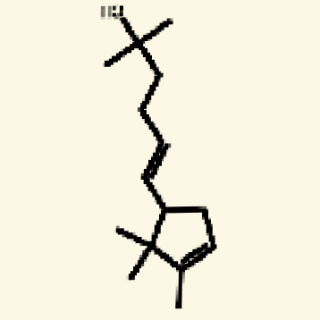 CC1=CCC(C=CCCC(C)(C)O)C1(C)C